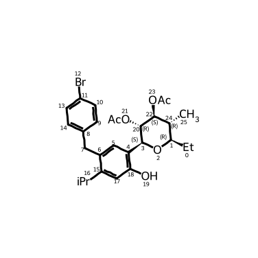 CC[C@H]1O[C@@H](c2cc(Cc3ccc(Br)cc3)c(C(C)C)cc2O)[C@H](OC(C)=O)[C@@H](OC(C)=O)[C@@H]1C